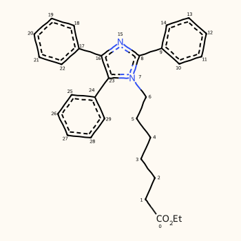 CCOC(=O)CCCCCCn1c(-c2ccccc2)nc(-c2ccccc2)c1-c1ccccc1